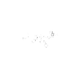 CCC(C)C(NC(=O)C(CCC(=O)O)c1ccccc1)C(=O)NCC(=O)N1c2ccccc2C[C@H]1C(=O)NCc1nn[nH]n1